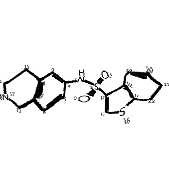 O=S(=O)(Nc1ccc2c(c1)CCNC2)c1csc2c1C=CCC2